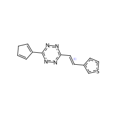 C1=CC(c2nnc(/C=C/c3ccsc3)nn2)=CC1